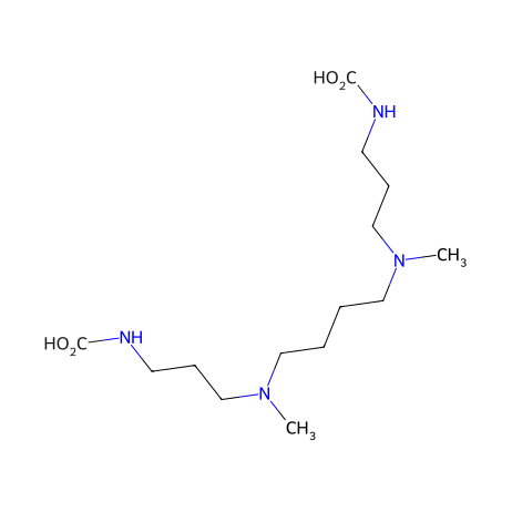 CN(CCCCN(C)CCCNC(=O)O)CCCNC(=O)O